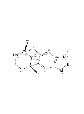 Cn1nnc2cc3c(cc21)C[C@H]1NCC[C@]3(C)C1(C)C